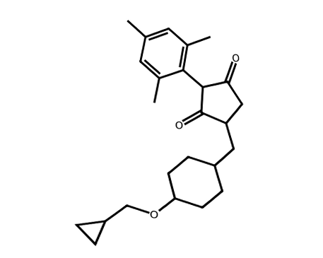 Cc1cc(C)c(C2C(=O)CC(CC3CCC(OCC4CC4)CC3)C2=O)c(C)c1